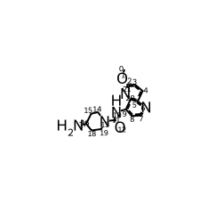 COc1ccc2nccc(NC(=O)N3CCC(N)CC3)c2n1